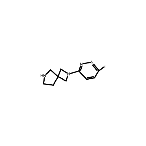 Ic1ccc(N2CC3(CCNC3)C2)nn1